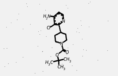 CC(C)(C)OC(=O)N1CCC(c2nccc(N)c2Cl)CC1